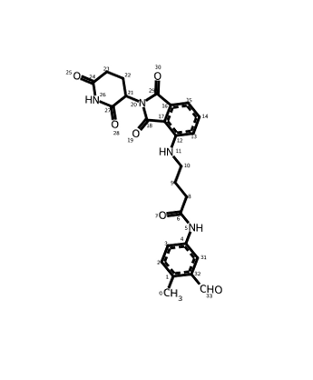 Cc1ccc(NC(=O)CCCNc2cccc3c2C(=O)N(C2CCC(=O)NC2=O)C3=O)cc1C=O